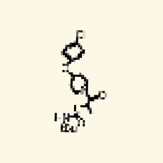 CC(OC(=O)NC(C)(C)C)C(=O)N1CCC(Oc2ccc(Cl)cc2)CC1